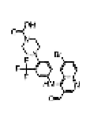 O=Cc1cnc2ccc(Br)cc2c1Nc1ccc(N2CCN(C(=O)O)CC2)c(C(F)(F)F)c1